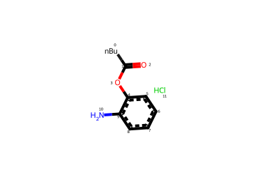 CCCCC(=O)Oc1ccccc1N.Cl